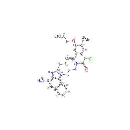 CCOC(=O)COc1cc(CN(CCCn2c(CCOC)nc3c(N)nc4ccccc4c32)C(=O)CCl)ccc1OC